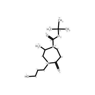 CC1CN(CCCO)C(=O)CCN1C(=O)OC(C)(C)C